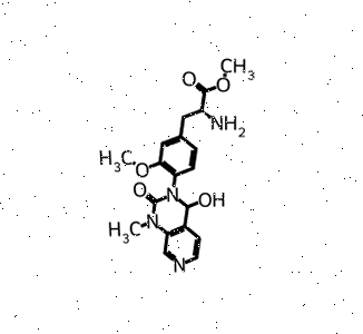 COC(=O)[C@@H](N)Cc1ccc(N2C(=O)N(C)c3cnccc3C2O)c(OC)c1